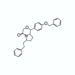 O=C1COC(c2ccc(OCc3ccccc3)cc2)C2CCC(CCc3ccccc3)N12